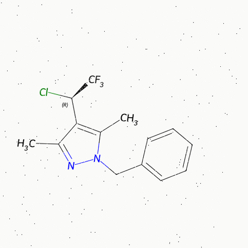 Cc1nn(Cc2ccccc2)c(C)c1[C@@H](Cl)C(F)(F)F